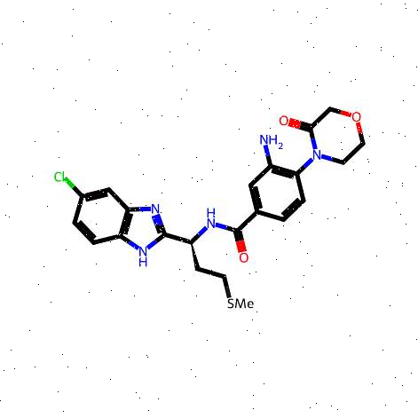 CSCC[C@H](NC(=O)c1ccc(N2CCOCC2=O)c(N)c1)c1nc2cc(Cl)ccc2[nH]1